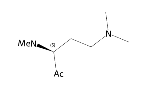 CN[C@@H](CCN(C)C)C(C)=O